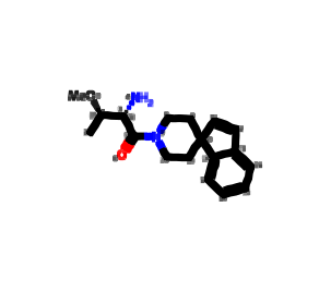 CO[C@H](C)[C@H](N)C(=O)N1CCC2(C=Cc3ccccc32)CC1